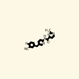 Cc1nccc(C(=O)Nc2ccc(Cc3ccc(F)c(C#N)c3)cn2)n1